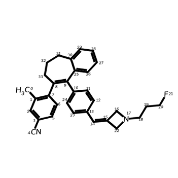 Cc1cc(C#N)ccc1C1=C(c2ccc(C=C3CN(CCCF)C3)cc2)c2ccccc2CCC1